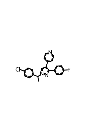 CC(c1ccc(Cl)cc1)n1cc(-c2ccncc2)c(-c2ccc(F)cc2)n1